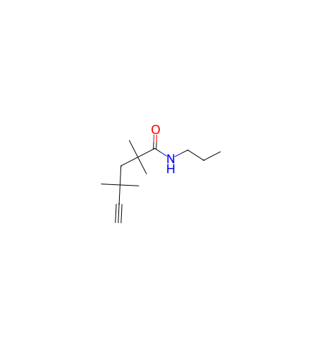 C#CC(C)(C)CC(C)(C)C(=O)NCCC